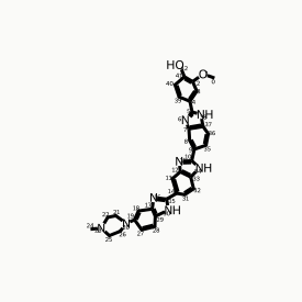 COc1cc(-c2nc3cc(-c4nc5cc(-c6nc7cc(N8CCN(C)CC8)ccc7[nH]6)ccc5[nH]4)ccc3[nH]2)ccc1O